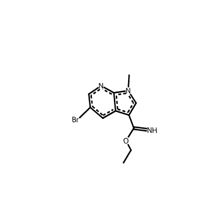 CCOC(=N)c1cn(C)c2ncc(Br)cc12